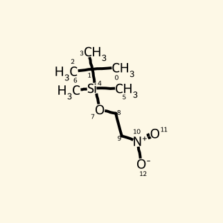 CC(C)(C)[Si](C)(C)OCC[N+](=O)[O-]